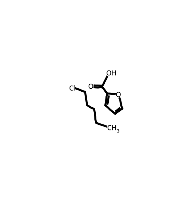 CCCCCCl.O=C(O)c1ccco1